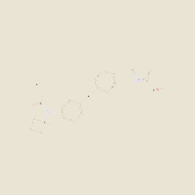 COC(=O)c1coc(Oc2ccc(C(C)(C)c3ccc(OC4(NC(=O)OC(C)(C)C)CCC4)cc3)cc2)n1